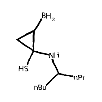 BC1CC1(S)NC(CCC)CCCC